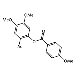 COc1ccc(C(=O)Oc2cc(OC)c(OC)cc2C(C)=O)cc1